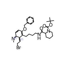 C/N=C1/C=CC(OCc2ccccc2)=C(CCCCNC(=O)C2CCCCN2C(=O)OC(C)(C)C)/C1=C/CBr